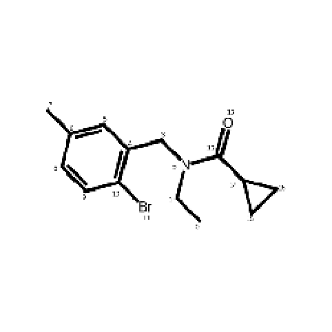 CCN(Cc1cc(C)ccc1Br)C(=O)C1CC1